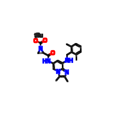 Cc1cccc(C)c1CNc1cc(NC(=O)C2CN2C(=O)OC(C)(C)C)cn2c(C)c(C)nc12